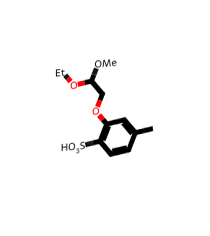 CCOC(COc1cc(C)ccc1S(=O)(=O)O)OC